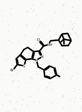 Cc1ccc(Cn2nc(C(=O)NCC3CCC4CC3C4(C)C)c3c2-c2sc(Br)cc2CC3)cc1